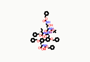 CC[C@@H](C)C(NC(=O)[C@H](Cc1cc(-c2ccc(OCc3ccccc3)c(C[C@H](NC(=O)OCc3ccccc3)C(=O)O)c2)ccc1OCc1ccccc1)NC(=O)[C@H](C[C@@H](O)CNC(=O)OCc1ccccc1)NC(=O)OC(C)(C)C)C(=O)OCc1ccccc1